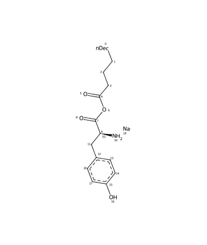 CCCCCCCCCCCCCC(=O)OC(=O)[C@@H](N)Cc1ccc(O)cc1.[Na]